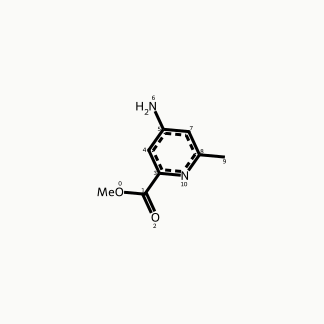 COC(=O)c1cc(N)cc(C)n1